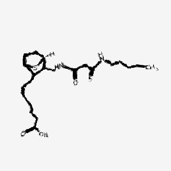 CCCCCNC(=S)CC(=O)NC[C@H]1C(C/C=C\CCCC(=O)O)C2CC[C@@H]1S2